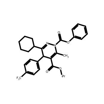 CC1=C(C(=O)OC(C)C)C(c2ccc(C(F)(F)F)cc2)C(C2CCCCC2)=NN1C(=O)Oc1ccccc1